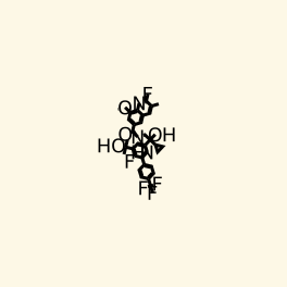 COc1cc(C(=O)NCC(O)(c2cc(C(C)(C)O)c(F)c(-c3ccc(C(F)(F)F)cc3)n2)C2CC2)cc2cc(C)c(F)nc12